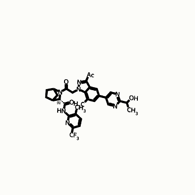 CC(=O)c1nn(CC(=O)N2C3CCC(C3)[C@H]2C(=O)Nc2nc(C(F)(F)F)ccc2C)c2c(C)cc(-c3cnc(C(C)O)nc3)cc12